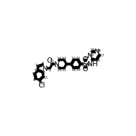 O=C(Cn1ccc2ccc(Cl)cc21)N1CCC(c2ccc(S(=O)(=O)Nc3ccncn3)cc2)CC1